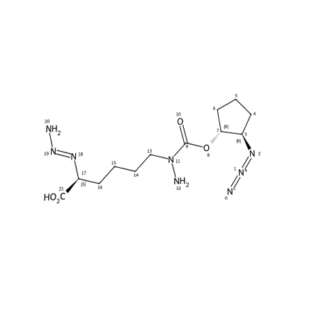 [N-]=[N+]=N[C@@H]1CCC[C@H]1OC(=O)N(N)CCCC[C@H](N=NN)C(=O)O